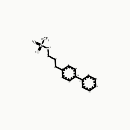 O=S(=O)(OCCCc1ccc(-c2ccccc2)cc1)C(F)(F)F